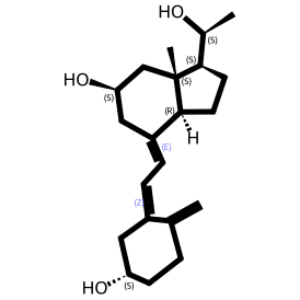 C=C1CC[C@H](O)C/C1=C/C=C1\C[C@@H](O)C[C@]2(C)[C@@H]([C@H](C)O)CC[C@@H]12